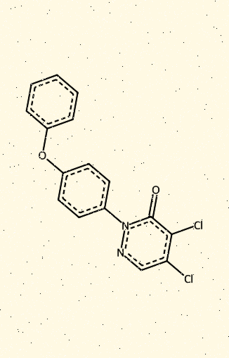 O=c1c(Cl)c(Cl)cnn1-c1ccc(Oc2ccccc2)cc1